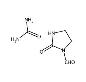 NC(N)=O.O=CN1CCNC1=O